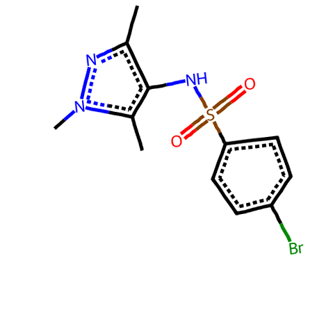 Cc1nn(C)c(C)c1NS(=O)(=O)c1ccc(Br)cc1